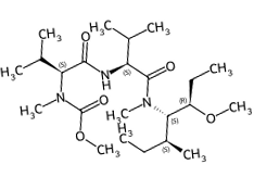 CC[C@H](C)[C@@H]([C@@H](CC)OC)N(C)C(=O)[C@@H](NC(=O)[C@H](C(C)C)N(C)C(=O)OC)C(C)C